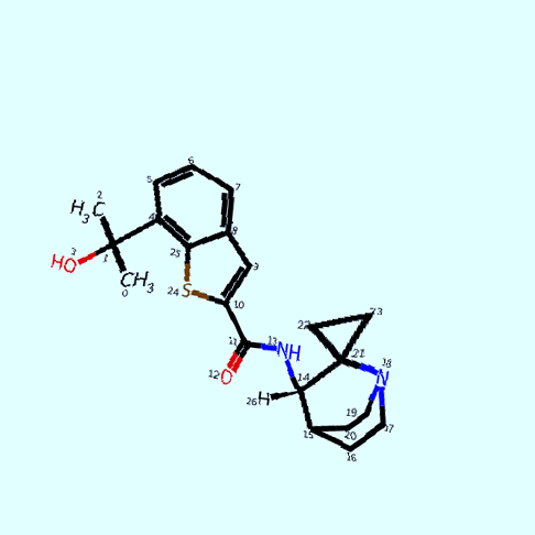 CC(C)(O)c1cccc2cc(C(=O)N[C@H]3C4CCN(CC4)C34CC4)sc12